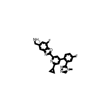 Cn1cnnc1-c1cc(F)ccc1-c1cc(-c2nc3cc(CN)cc(F)c3o2)nc(C2CC2)c1